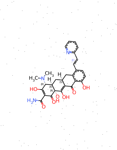 CN(C)[C@H]1C(O)=C(C(N)=O)C(=O)[C@]2(O)C(O)=C3C(=O)c4c(O)ccc(/C=C/c5ccccn5)c4C[C@@H]3C[C@H]12